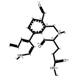 C=C/C=C(\C=C/NC)c1ccc(C=O)c(CN(C)C(C=O)CCC(=O)NC)c1